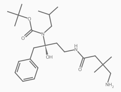 CC(C)CN(C(=O)OC(C)(C)C)[C@](O)(CCNC(=O)CC(C)(C)CN)Cc1ccccc1